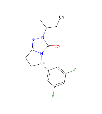 CC(CC#N)n1nc2n(c1=O)[C@H](c1cc(F)cc(F)c1)CC2